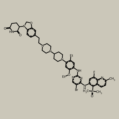 CCOc1cc(N2CCC(N3CCN(CCc4ccc5c(c4)OCN5C4CCC(=O)NC4=O)CC3)CC2)c(CC)cc1Nc1ncc(Br)c(Nc2cc(F)c3nc(C)ccc3c2P(C)(C)=O)n1